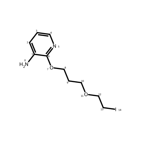 Nc1cccnc1OCCCOCCI